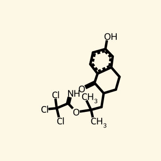 CC(C)(CC1CCc2cc(O)ccc2C1=O)OC(=N)C(Cl)(Cl)Cl